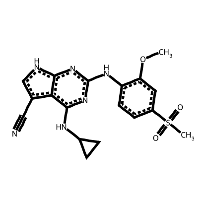 COc1cc(S(C)(=O)=O)ccc1Nc1nc(NC2CC2)c2c(C#N)c[nH]c2n1